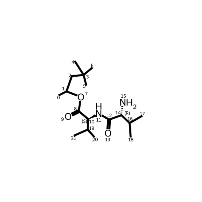 CC(CC(C)(C)C)OC(=O)[C@@H](NC(=O)[C@H](N)C(C)C)C(C)C